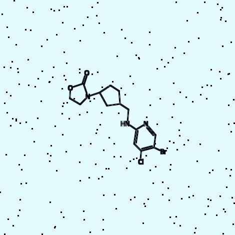 O=C1OCCN1C1CCC(CNc2cc(Cl)c(Br)cn2)C1